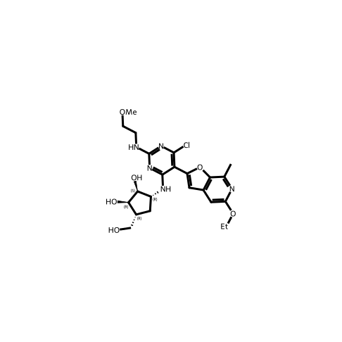 CCOc1cc2cc(-c3c(Cl)nc(NCCOC)nc3N[C@@H]3C[C@H](CO)[C@@H](O)[C@H]3O)oc2c(C)n1